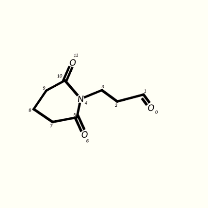 O=CCCN1C(=O)CCCC1=O